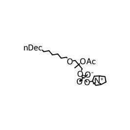 CCCCCCCCCCCCCCCCOCC(C)(COP(=O)([O-])OC1CC2CCC(C1)[N+]2(C)C)OC(C)=O